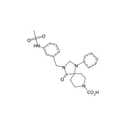 CS(=O)(=O)Nc1cccc(CN2CN(c3ccccc3)C3(CCN(C(=O)O)CC3)C2=O)c1